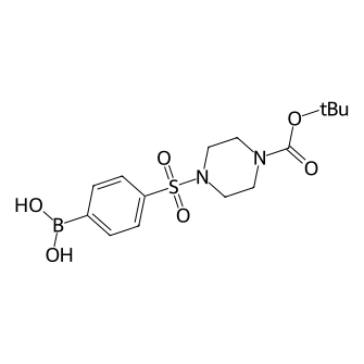 CC(C)(C)OC(=O)N1CCN(S(=O)(=O)c2ccc(B(O)O)cc2)CC1